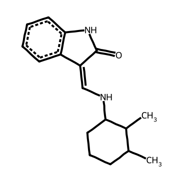 CC1CCCC(N/C=C2\C(=O)Nc3ccccc32)C1C